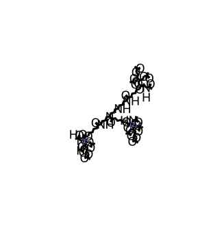 CC(=O)NCC(OCCCCC(=O)NCCCNCCCN(CCCNC(=O)CCCCOC(O)/C(NC(C)=O)=C(\OC(C)=O)C(CCOC(C)=O)OC(C)=O)C(=O)CCCCOC(O)/C(NC(C)=O)=C(/OC(C)=O)C(CCOC(C)=O)OC(C)=O)OC(COC(C)=O)C(COC(C)=O)OC(C)=O